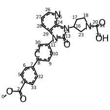 COC(=O)c1ccc(-c2ccc(-n3c(=O)n(C4CCN(C(=O)O)C4)c4ncccc43)cc2)cc1